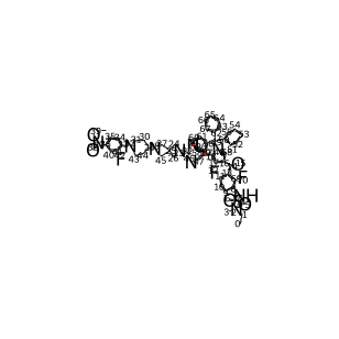 CCN(C)S(=O)(=O)Nc1ccc(F)c(C(=O)c2cc(-c3cnc(N4CC5(C4)CN(C4CCN(c6ccc([N+](=O)[O-])cc6F)CC4)C5)nc3)n(C(c3ccccc3)(c3ccccc3)c3ccccc3)c2)c1F